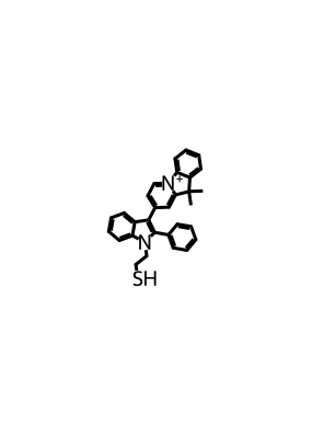 CC1(C)c2ccccc2-[n+]2ccc(-c3c(-c4ccccc4)n(CCS)c4ccccc34)cc21